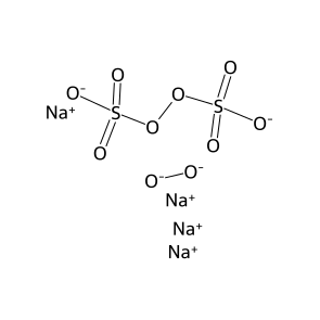 O=S(=O)([O-])OOS(=O)(=O)[O-].[Na+].[Na+].[Na+].[Na+].[O-][O-]